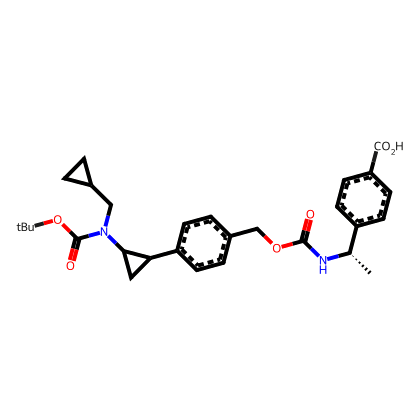 C[C@H](NC(=O)OCc1ccc(C2CC2N(CC2CC2)C(=O)OC(C)(C)C)cc1)c1ccc(C(=O)O)cc1